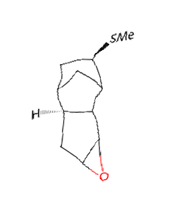 CS[C@@H]1CC2CC1C1C3OC3C[C@@H]21